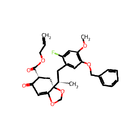 C=CCOC(=O)[C@@H]1C[C@]2([C@@H](C)Cc3cc(OCc4ccccc4)c(OC)cc3F)OCOC2=CC1=O